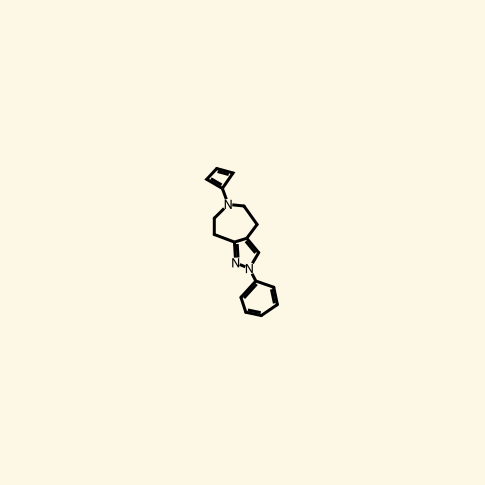 C1=CC(N2CCc3cn(-c4ccccc4)nc3CC2)=C1